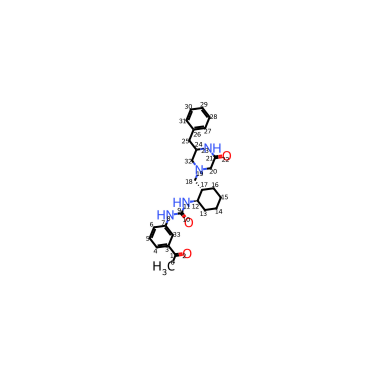 CC(=O)c1cccc(NC(=O)N[C@@H]2CCCC[C@H]2CN2CC(=O)NC(Cc3ccccc3)C2)c1